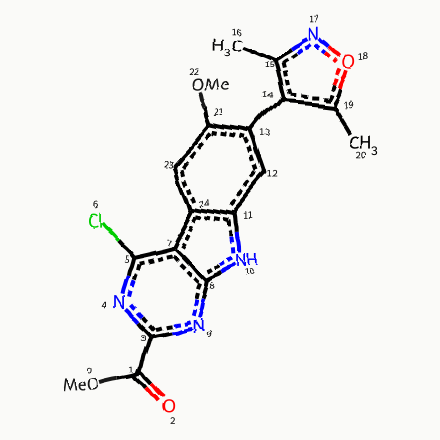 COC(=O)c1nc(Cl)c2c(n1)[nH]c1cc(-c3c(C)noc3C)c(OC)cc12